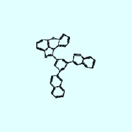 c1ccc2c(c1)Oc1cccc3nc(-c4cc(-c5ccc6ccccc6c5)cc(-c5ccc6ccccc6c5)c4)n-2c13